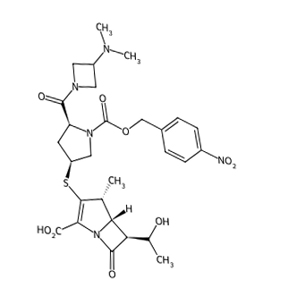 CC(O)[C@H]1C(=O)N2C(C(=O)O)=C(S[C@H]3C[C@@H](C(=O)N4CC(N(C)C)C4)N(C(=O)OCc4ccc([N+](=O)[O-])cc4)C3)[C@H](C)[C@H]12